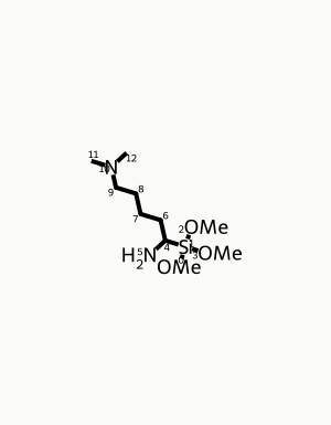 CO[Si](OC)(OC)C(N)CCCCN(C)C